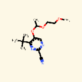 COCCOC(C)Oc1cnc(C#N)nc1C(C)(C)C